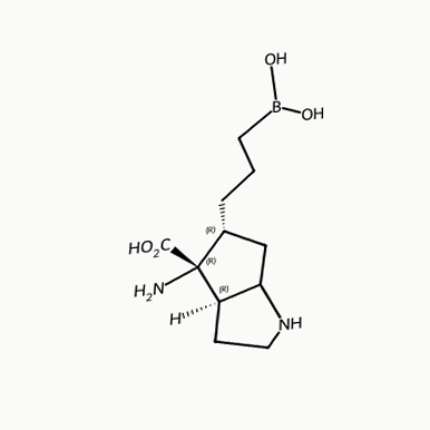 N[C@]1(C(=O)O)[C@H](CCCB(O)O)CC2NCC[C@H]21